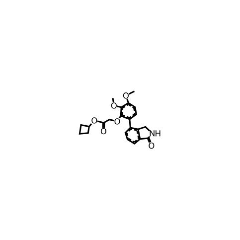 COc1ccc(-c2cccc3c2CNC3=O)c(OCC(=O)OC2CCC2)c1OC